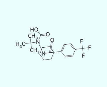 CC(C)(C)N(C(=O)O)N1C(=O)C2(c3ccc(C(F)(F)F)cc3)CCC1CC2